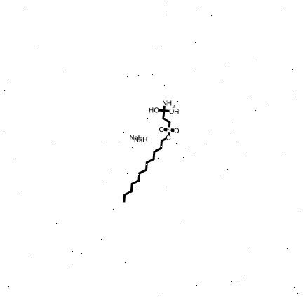 CCCCCCCCCCCCOS(=O)(=O)CCC(N)(O)O.[NaH].[NaH]